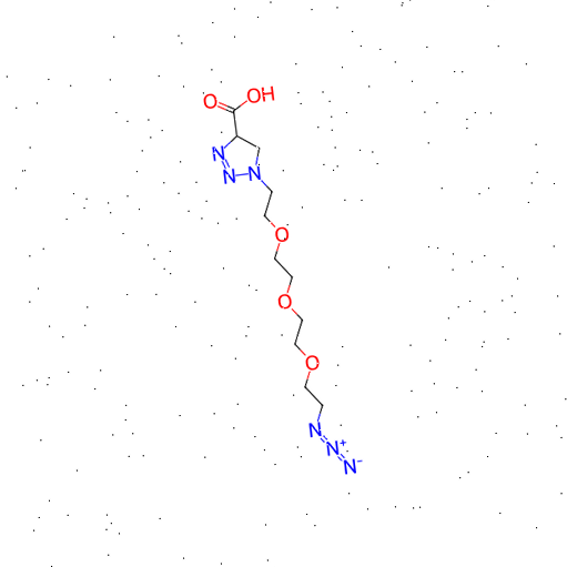 [N-]=[N+]=NCCOCCOCCOCCN1CC(C(=O)O)N=N1